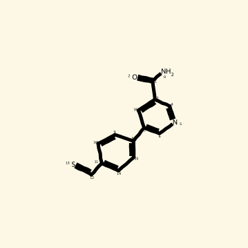 NC(=O)c1cncc(-c2ccc(C=S)cc2)c1